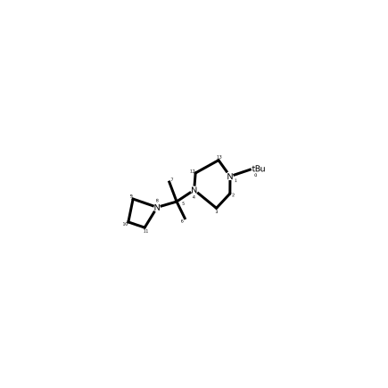 CC(C)(C)N1CCN(C(C)(C)N2CCC2)CC1